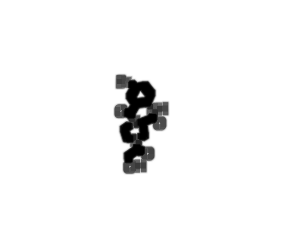 O=C1Nc2ccc(Br)cc2C(=O)N2CCN(C(=O)CO)CC12